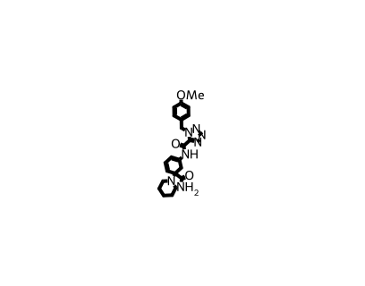 COc1ccc(Cn2nnnc2C(=O)NC2=CC=CC(C(N)=O)(N3CCCCC3)C2)cc1